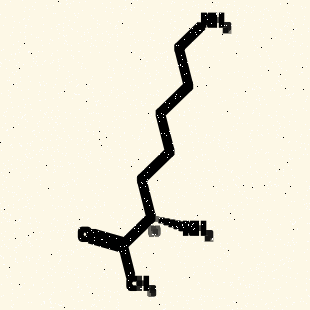 CC(=O)[C@@H](N)CCCCCN